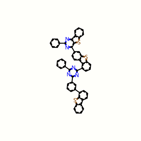 c1ccc(-c2nc(-c3cccc(-c4cccc5c4sc4ccccc45)c3)nc(-c3cccc4sc5cc(-c6nc(-c7ccccc7)nc7c6sc6ccccc67)ccc5c34)n2)cc1